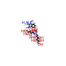 CCn1c(CN)[n+](CC)c2cc(OCCN(C[C@H](O)[C@@H](O)[C@H](O)[C@H](O)CO)C[C@H](O)[C@@H](O)[C@H](O)[C@H](O)CO)ccc21